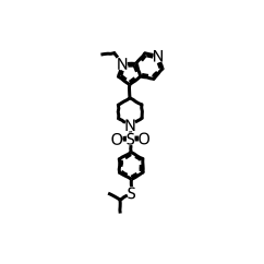 CCn1cc(C2CCN(S(=O)(=O)c3ccc(SC(C)C)cc3)CC2)c2ccncc21